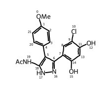 COc1ccc(-c2c(-c3cc(Cl)c(O)cc3O)n[nH]c2NC(C)=O)cc1